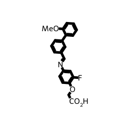 COc1ccccc1-c1cccc(C=Nc2ccc(OCC(=O)O)c(F)c2)c1